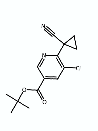 CC(C)(C)OC(=O)c1cnc(C2(C#N)CC2)c(Cl)c1